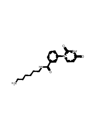 NCCCCCCNC(=O)c1cccc(-n2ccc(=O)[nH]c2=O)c1